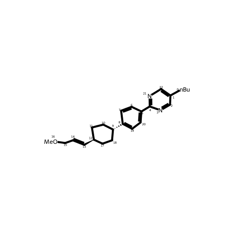 CCCCc1cnc(-c2ccc([C@H]3CC[C@H](C=CCOC)CC3)cc2)nc1